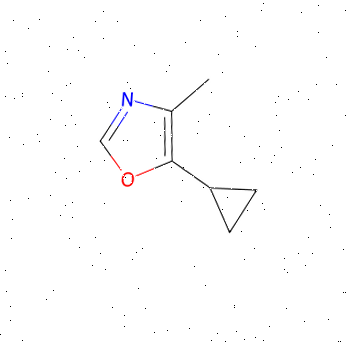 Cc1ncoc1C1CC1